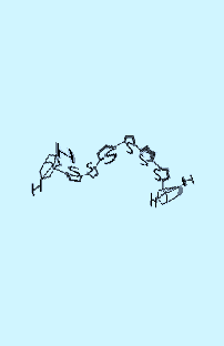 c1cc(-c2ccc(-c3ccc(C45CC6C[C@H](C4)C[C@H](C6)C5)s3)s2)sc1-c1ccc(-c2ccc(-c3ccc(C45CC6C[C@H](C4)C[C@H](C6)C5)s3)s2)s1